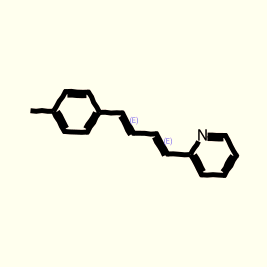 Cc1ccc(/C=C/C=C/c2ccccn2)cc1